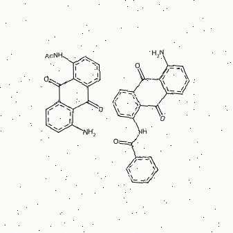 CC(=O)Nc1cccc2c1C(=O)c1cccc(N)c1C2=O.Nc1cccc2c1C(=O)c1cccc(NC(=O)c3ccccc3)c1C2=O